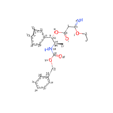 CCOC(=N)CC(=O)O[C@@H](c1ccccc1)[C@@H](C)NC(=O)OCc1ccccc1